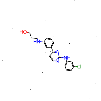 OCCCNc1cccc(-c2ccnc(Nc3cccc(Cl)c3)n2)c1